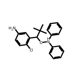 CC(C)(C)C(O[SiH](c1ccccc1)c1ccccc1)c1cc(N)ccc1Cl